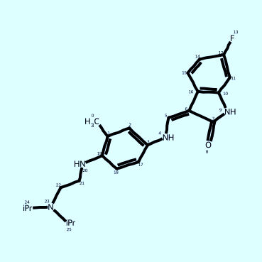 Cc1cc(NC=C2C(=O)Nc3cc(F)ccc32)ccc1NCCN(C(C)C)C(C)C